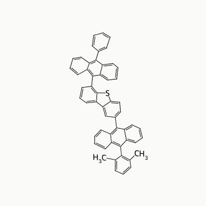 Cc1cccc(C)c1-c1c2ccccc2c(-c2ccc3sc4c(-c5c6ccccc6c(-c6ccccc6)c6ccccc56)cccc4c3c2)c2ccccc12